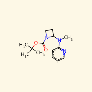 CN(c1cc[c]cn1)C1CCN1C(=O)OC(C)(C)C